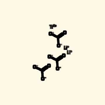 O=C([O-])[O-].O=C([O-])[O-].O=C([O-])[O-].[Li+].[Li+].[Ti+4]